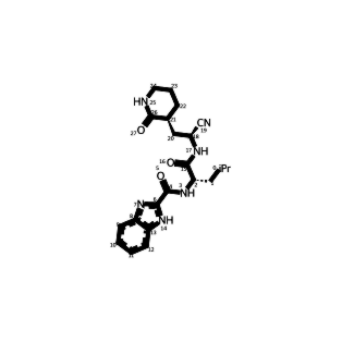 CC(C)C[C@H](NC(=O)c1nc2ccccc2[nH]1)C(=O)N[C@H](C#N)C[C@@H]1CCCNC1=O